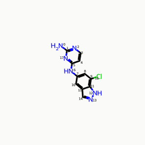 Nc1nccc(Nc2cc(Cl)c3[nH]ncc3c2)n1